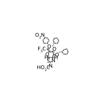 CN(C(=O)O)C1=N[C@@H]2[C@@H](OCc3ccccc3)[C@H](OCc3ccccc3)[C@@H]([C@@H](Oc3ccc([N+](=O)[O-])cc3)C(F)(F)F)O[C@@H]2S1